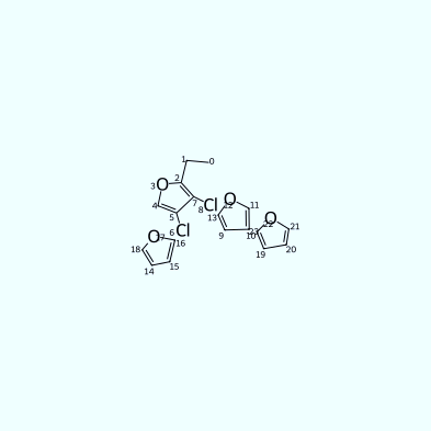 CCc1occ(Cl)c1Cl.c1ccoc1.c1ccoc1.c1ccoc1